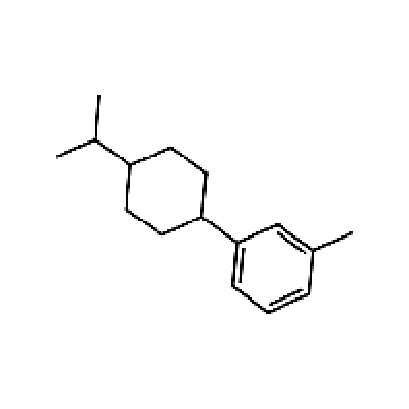 Cc1cccc(C2CCC(C(C)C)CC2)c1